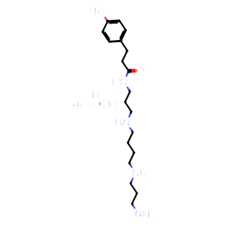 Cl.Cl.Cl.NCCCNCCCCNCCCNC(=O)CCc1ccc(O)cc1